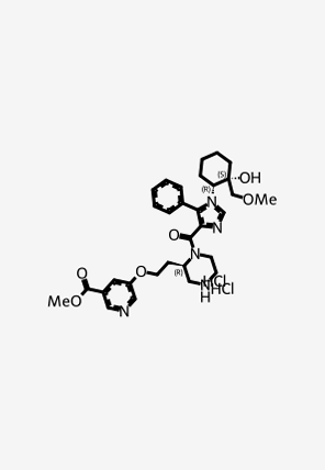 COC[C@]1(O)CCCC[C@H]1n1cnc(C(=O)N2CCNC[C@H]2CCOc2cncc(C(=O)OC)c2)c1-c1ccccc1.Cl.Cl